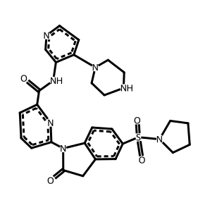 O=C(Nc1cnccc1N1CCNCC1)c1cccc(N2C(=O)Cc3cc(S(=O)(=O)N4CCCC4)ccc32)n1